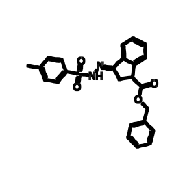 Cc1ccc(S(=O)(=O)NN=C2CC(C(=O)OCc3ccccc3)c3ccccc32)cc1